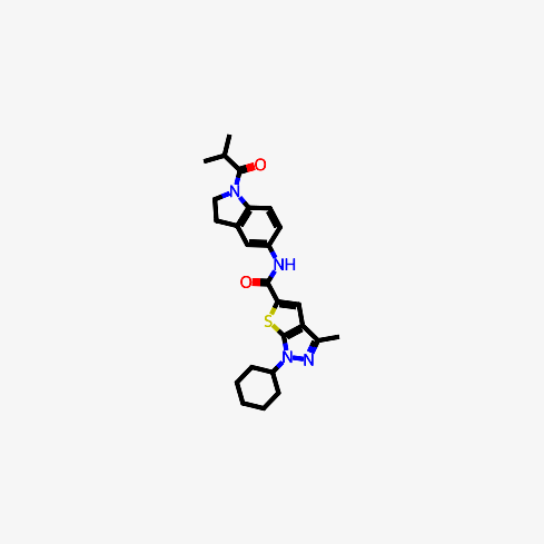 Cc1nn(C2CCCCC2)c2sc(C(=O)Nc3ccc4c(c3)CCN4C(=O)C(C)C)cc12